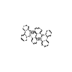 c1ccc2c(c1)NP(c1ccccc1-c1ccccc1P1Nc3ccccc3-c3ccccc31)c1ccccc1-2